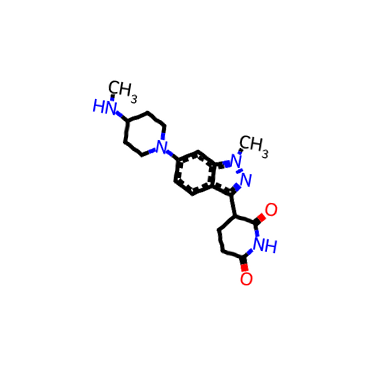 CNC1CCN(c2ccc3c(C4CCC(=O)NC4=O)nn(C)c3c2)CC1